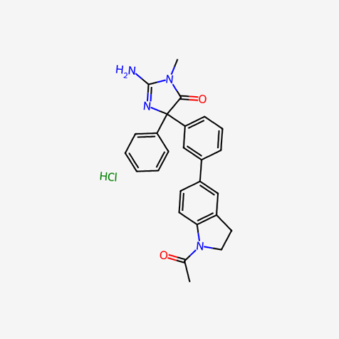 CC(=O)N1CCc2cc(-c3cccc(C4(c5ccccc5)N=C(N)N(C)C4=O)c3)ccc21.Cl